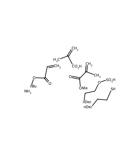 C=C(C)C(=O)O.C=C(C)C(=O)OC.C=CC(=O)OCCCC.CCCCCCCCCCCCOS(=O)(=O)O.CCCCCCCCCCCCS.N